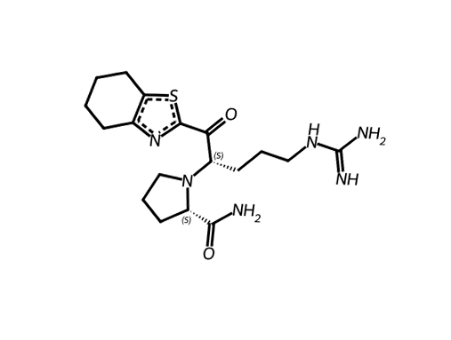 N=C(N)NCCC[C@@H](C(=O)c1nc2c(s1)CCCC2)N1CCC[C@H]1C(N)=O